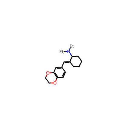 CCN(CC)C1CCCCC1=Cc1ccc2c(c1)OCCO2